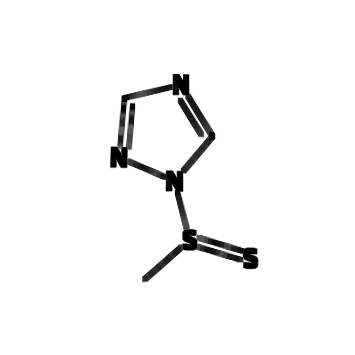 CS(=S)n1cncn1